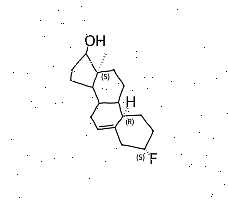 C[C@]12CCC3C(CC=C4C[C@@H](F)CC[C@@H]43)C1CCC2O